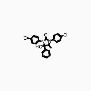 CC1N(c2ccc(Cl)cc2)C(=O)N(c2ccc(Cl)cc2)C1(O)c1ccccc1